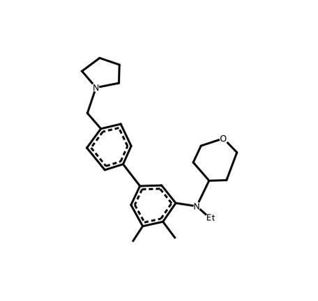 CCN(c1cc(-c2ccc(CN3CCCC3)cc2)cc(C)c1C)C1CCOCC1